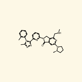 CNCc1nc(N2CCC[C@H]2C)cc2c1CN(c1cccc(-c3nnc(C)n3-c3ccccc3C)n1)C2=O